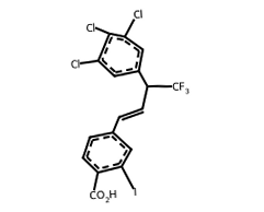 O=C(O)c1ccc(C=CC(c2cc(Cl)c(Cl)c(Cl)c2)C(F)(F)F)cc1I